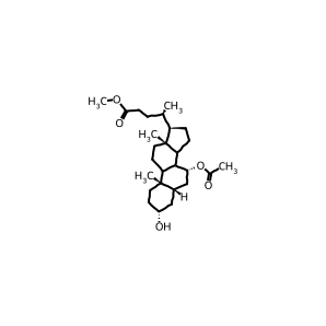 COC(=O)CC[C@@H](C)[C@H]1CCC2C3C(CC[C@@]21C)[C@@]1(C)CC[C@@H](O)C[C@H]1C[C@H]3OC(C)=O